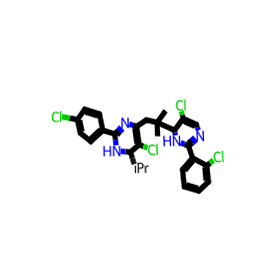 CC(C)C1NC(c2ccc(Cl)cc2)=NC(CC(C)(C)C2NC(c3ccccc3Cl)=NC=C2Cl)=C1Cl